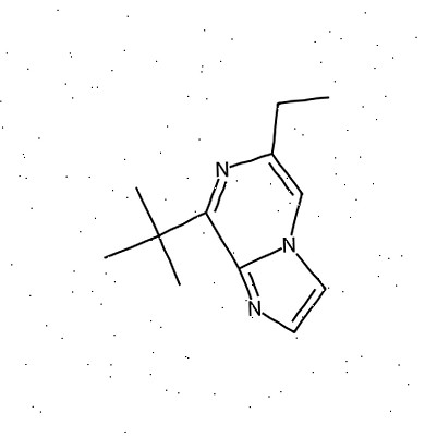 CCc1cn2ccnc2c(C(C)(C)C)n1